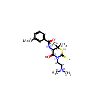 COc1cccc(C(=O)NC2C(=O)N(CCN(C)C)C(=S)SC2(C)C)c1